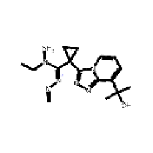 C=N/N=C(\N(N)CC)C1(c2nnc3c(C(C)(C)O)cccn23)CC1